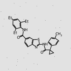 CCc1cc(CC)c(NC(=O)c2ccc3nc(NC(=O)C4(c5ccc(C)cc5)CC4)sc3c2)c(CC)c1